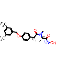 C[C@@H](C(=O)N(C)[C@@H](C)C(=O)NO)c1ccc(OCc2cc(C(F)(F)F)cc(C(F)(F)F)c2)cc1